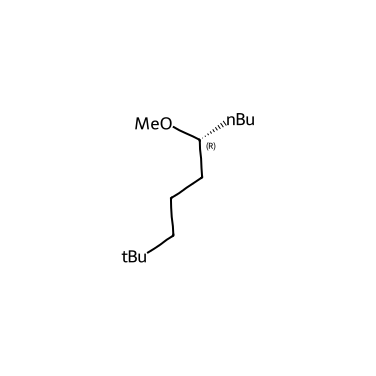 CCCC[C@H](CCCC(C)(C)C)OC